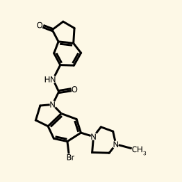 CN1CCN(c2cc3c(cc2Br)CCN3C(=O)Nc2ccc3c(c2)C(=O)CC3)CC1